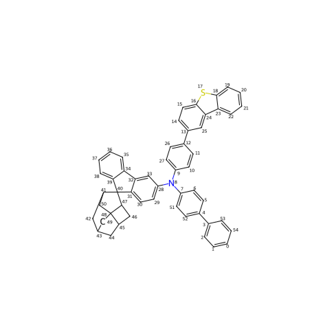 c1ccc(-c2ccc(N(c3ccc(-c4ccc5sc6ccccc6c5c4)cc3)c3ccc4c(c3)-c3ccccc3C43C4CC5CC6CC3C6(C5)C4)cc2)cc1